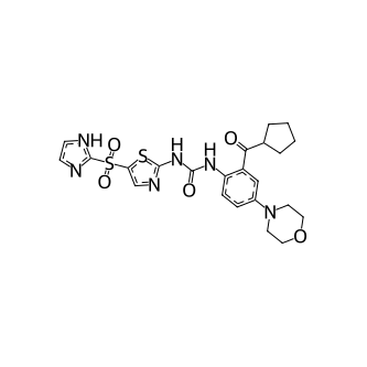 O=C(Nc1ncc(S(=O)(=O)c2ncc[nH]2)s1)Nc1ccc(N2CCOCC2)cc1C(=O)C1CCCC1